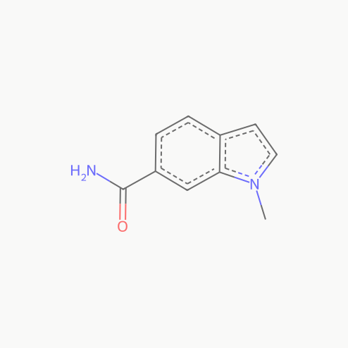 Cn1ccc2ccc(C(N)=O)cc21